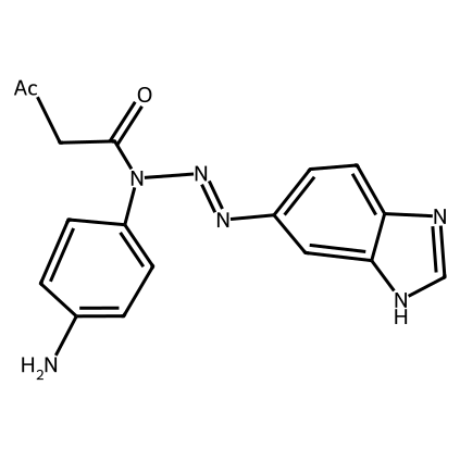 CC(=O)CC(=O)N(N=Nc1ccc2nc[nH]c2c1)c1ccc(N)cc1